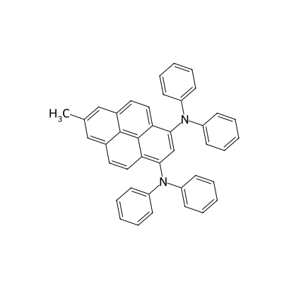 Cc1cc2ccc3c(N(c4ccccc4)c4ccccc4)cc(N(c4ccccc4)c4ccccc4)c4ccc(c1)c2c34